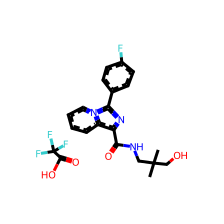 CC(C)(CO)CNC(=O)c1nc(-c2ccc(F)cc2)n2ccccc12.O=C(O)C(F)(F)F